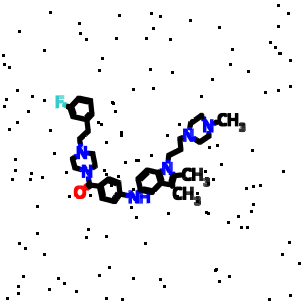 Cc1c(C)n(CCCN2CCN(C)CC2)c2ccc(Nc3ccc(C(=O)N4CCN(CCc5cccc(F)c5)CC4)cc3)cc12